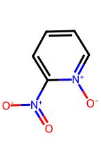 O=[N+]([O-])c1cccc[n+]1[O-]